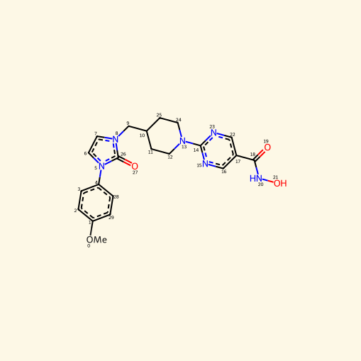 COc1ccc(-n2ccn(CC3CCN(c4ncc(C(=O)NO)cn4)CC3)c2=O)cc1